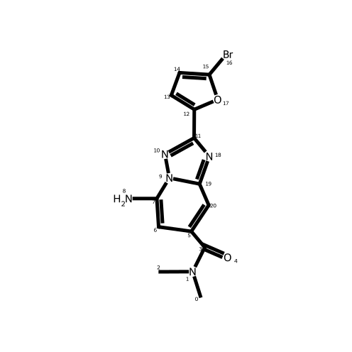 CN(C)C(=O)c1cc(N)n2nc(-c3ccc(Br)o3)nc2c1